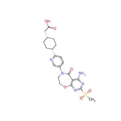 CS(=O)(=O)c1nc(N)c2c(n1)OCCN(c1ccc([C@H]3CC[C@@H](CC(=O)O)CC3)nc1)C2=O